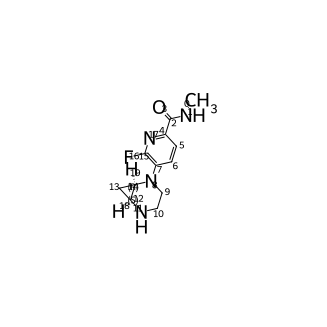 CNC(=O)c1ccc(N2CCN[C@H]3C[C@H]32)c(F)n1